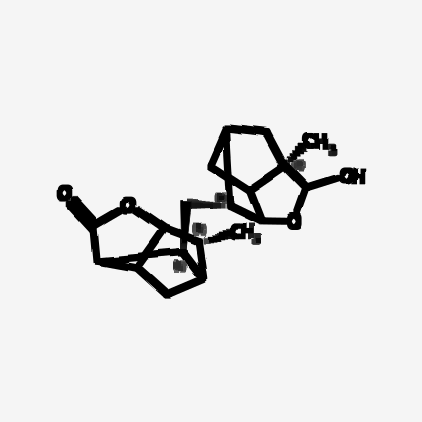 C[C@H]1C2OC(=O)C3C2CC1[C@@H]3C[C@@H]1C2CC3C1OC(O)[C@]3(C)C2